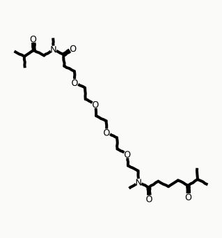 CC(C)C(=O)CCCC(=O)N(C)CCOCCOCCOCCOCCC(=O)N(C)CC(=O)C(C)C